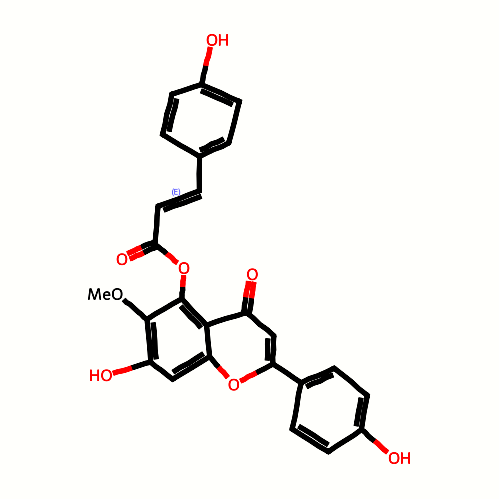 COc1c(O)cc2oc(-c3ccc(O)cc3)cc(=O)c2c1OC(=O)/C=C/c1ccc(O)cc1